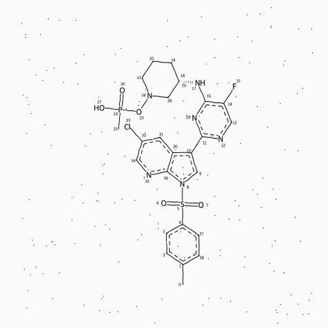 Cc1ccc(S(=O)(=O)n2cc(-c3ncc(F)c(N[C@H]4CCCN(OP(C)(=O)O)C4)n3)c3cc(Cl)cnc32)cc1